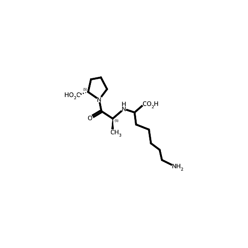 C[C@H](NC(CCCCCN)C(=O)O)C(=O)N1CCC[C@H]1C(=O)O